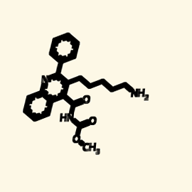 COC(=O)NC(=O)c1c(CCCCCN)c(-c2ccccc2)nc2ccccc12